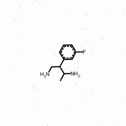 CC(N)C(CN)c1cccc(F)c1